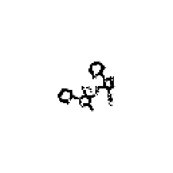 [C-]#[N+]c1cnn(-c2ccccn2)c1/N=N/c1c(C)nn(-c2ccccn2)c1N